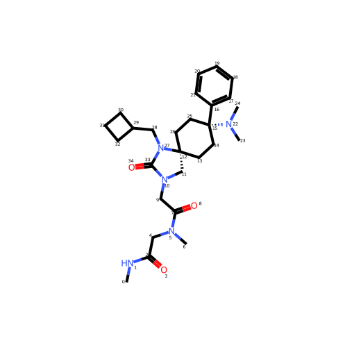 CNC(=O)CN(C)C(=O)CN1C[C@]2(CC[C@@](c3ccccc3)(N(C)C)CC2)N(CC2CCC2)C1=O